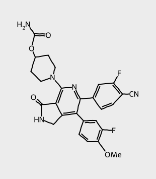 COc1ccc(-c2c(-c3ccc(C#N)c(F)c3)nc(N3CCC(OC(N)=O)CC3)c3c2CNC3=O)cc1F